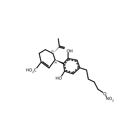 C=C(C)[C@H]1CCC(C(=O)O)=C[C@@H]1c1c(O)cc(CCCCO[N+](=O)[O-])cc1O